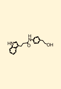 O=C(CCc1c[nH]c2ccccc12)Nc1ccc(CCO)cc1